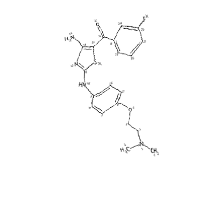 CN(C)CCOc1ccc(Nc2nc(N)c(C(=O)c3cccc(F)c3)s2)cc1